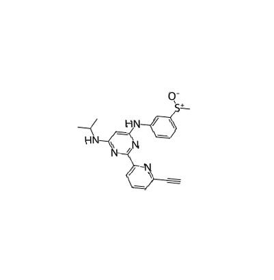 C#Cc1cccc(-c2nc(Nc3cccc([S+](C)[O-])c3)cc(NC(C)C)n2)n1